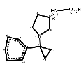 O=C(O)N[C@H]1CCN(C2(c3ccccc3)CC2)C1